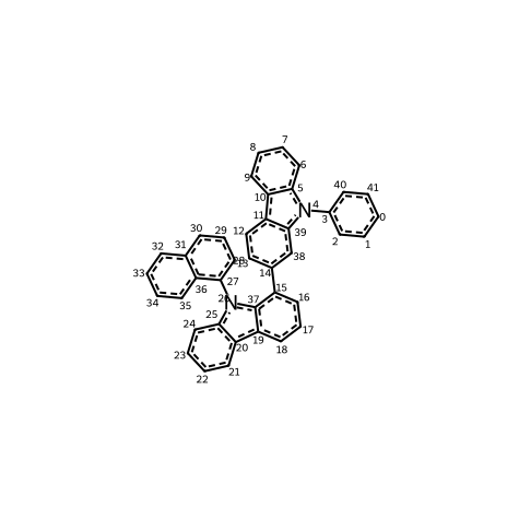 c1ccc(-n2c3ccccc3c3ccc(-c4cccc5c6ccccc6n(-c6cccc7ccccc67)c45)cc32)cc1